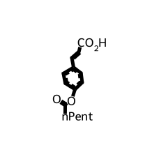 CCCCCC(=O)Oc1ccc(C=CC(=O)O)cc1